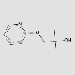 CC(C)(O)COc1ccc[c]n1